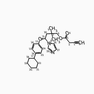 C#CCC(=O)OCC(C)(C)CC(Oc1ccc(C2CCCCC2)cc1)n1ccnc1